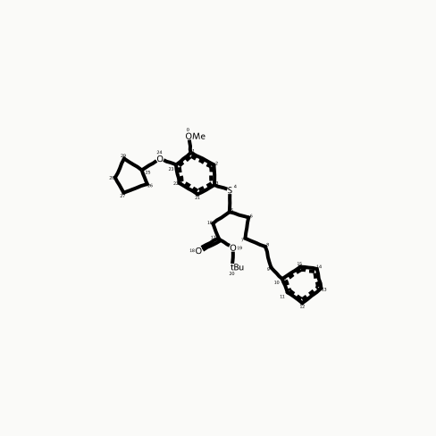 COc1cc(SC(CCCCc2ccccc2)CC(=O)OC(C)(C)C)ccc1OC1CCCC1